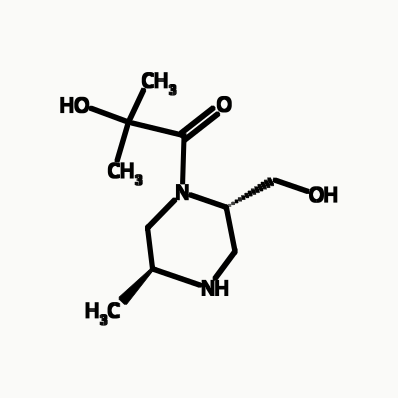 C[C@H]1CN(C(=O)C(C)(C)O)[C@H](CO)CN1